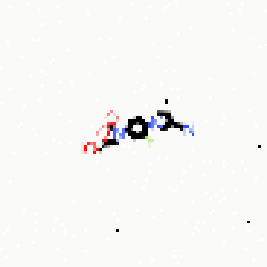 N#Cc1ccn(-c2ccc(N3C[C@@H](CO)OC3=O)cc2F)c1